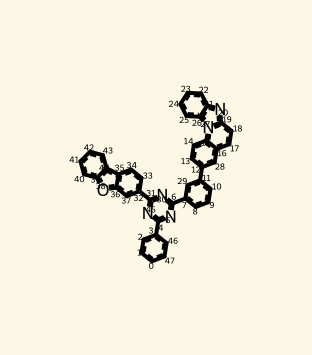 c1ccc(-c2nc(-c3cccc(-c4ccc5c(ccc6nc7ccccc7n65)c4)c3)nc(-c3ccc4c(c3)oc3ccccc34)n2)cc1